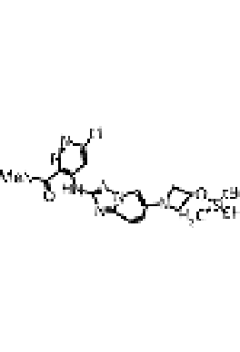 CNC(=O)c1nnc(Cl)cc1Nc1nc2ccc(N3CC(O[Si](C)(C)C(C)(C)C)C3)cn2n1